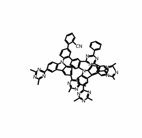 Cc1nc(C)nc(-c2ccc3c(c2)c2cc(-c4nc(C)nc(C)n4)ccc2n3-c2ccc(-c3ccccc3C#N)cc2-c2ccc(-n3c4ccc(-c5nc(C)nc(C)n5)cc4c4cc(-c5nc(C)nc(C)n5)ccc43)c(-c3nc(-c4ccccc4)nc(-c4ccccc4)n3)c2)n1